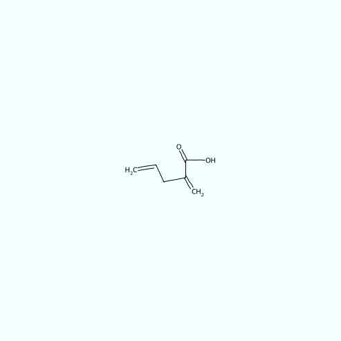 C=C[CH]C(=C)C(=O)O